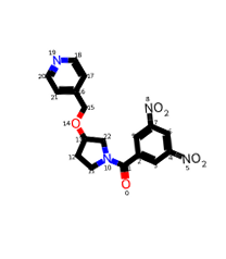 O=C(c1cc([N+](=O)[O-])cc([N+](=O)[O-])c1)N1CCC(OCc2ccncc2)C1